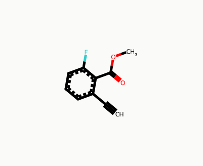 C#Cc1cccc(F)c1C(=O)OC